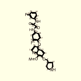 COc1c(OCC2CCNCC2)ccc2c(Oc3ccc(NC(=O)C(=O)Nc4cccc(F)c4)cc3F)ccnc12